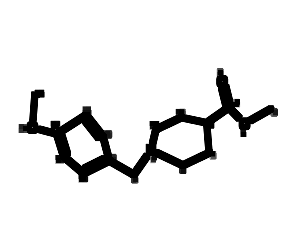 COC(=O)C1CCN(Cc2ccc(OC)cc2)CC1